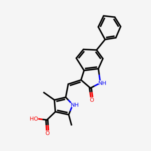 Cc1[nH]c(/C=C2\C(=O)Nc3cc(-c4ccccc4)ccc32)c(C)c1C(=O)O